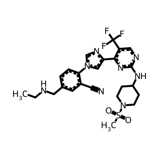 CCNCc1ccc(-n2cnc(-c3nc(NC4CCN(S(C)(=O)=O)CC4)ncc3C(F)(F)F)c2)c(C#N)c1